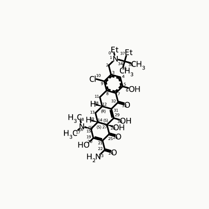 CCN(Cc1cc(O)c2c(c1Cl)C[C@H]1C[C@H]3[C@H](N(C)C)C(O)=C(C(N)=O)C(=O)[C@@]3(O)C(O)=C1C2=O)C(C)(C)CC